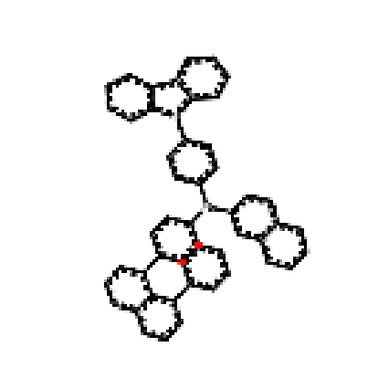 c1ccc(-c2cccc3cccc(-c4ccc(N(c5ccc(-n6c7ccccc7c7ccccc76)cc5)c5ccc6ccccc6c5)cc4)c23)cc1